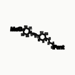 CCCC(C)CCCC1CCC(C#CC2CCC(OC)CC2)CC1